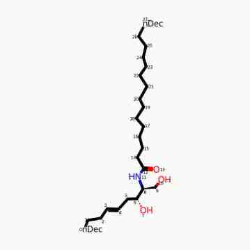 CCCCCCCCCCCCC=CC[C@@H](O)[C@H](CO)NC(=O)CCCCCCCCCCCCCCCCCCCCCCC